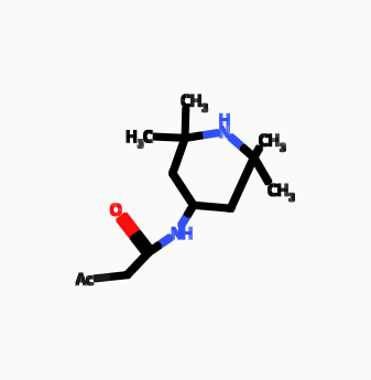 CC(=O)CC(=O)NC1CC(C)(C)NC(C)(C)C1